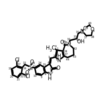 Cc1c(/C=C2\C(=O)Nc3ccc(S(=O)(=O)Cc4c(Cl)cccc4Cl)cc32)[nH]c2c1C(=O)N(CC(O)CN1CCOCC1)CCC2